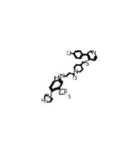 O=C(CCNc1ccc(N2CCNCC2)c(C(F)(F)F)c1)N1CCC(CSc2ccncc2-c2ccc(Cl)cc2)CC1